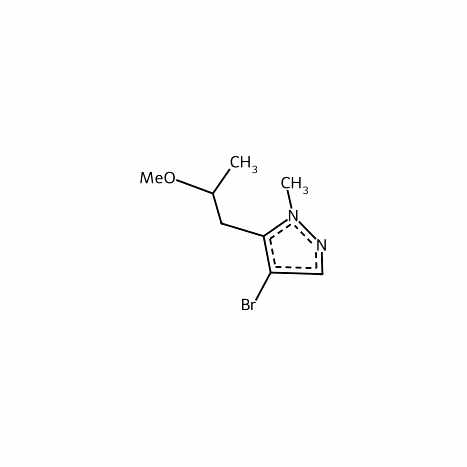 COC(C)Cc1c(Br)cnn1C